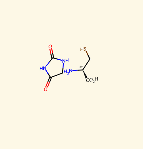 N[C@@H](CS)C(=O)O.O=C1CNC(=O)N1